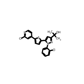 CC(C)(O)c1cc(-c2ccc(-c3ccnc(Cl)c3)s2)n(-c2ccccc2Cl)n1